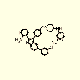 N#Cc1cc(NC2CCN(Cc3ccc(-n4c(-c5cccnc5N)nc5ccc(-c6cccc(Cl)c6)nc54)cc3)CC2)ncn1